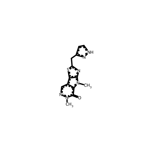 Cn1ncc2c3sc(Cc4cc[nH]n4)nc3n(C)c2c1=O